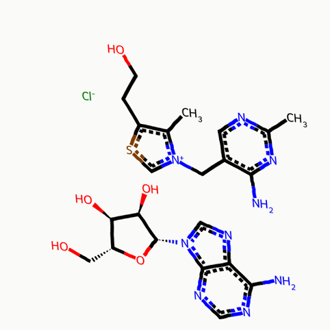 Cc1ncc(C[n+]2csc(CCO)c2C)c(N)n1.Nc1ncnc2c1ncn2[C@@H]1O[C@H](CO)[C@@H](O)[C@H]1O.[Cl-]